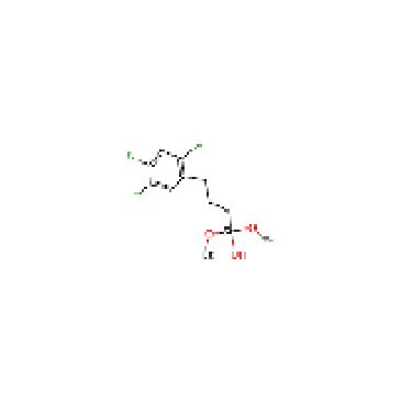 CCO[Si](O)(CCCc1cc(F)c(F)cc1F)OCC